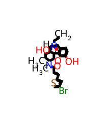 C=CCN1CC[C@]23c4c5ccc(O)c4OC2C(N(C)C(=O)/C=C/c2cc(Br)cs2)C(C)C[C@@]3(O)[C@H]1C5